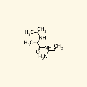 C=CC(N)NC(=O)[C@H](C)NC(C)C